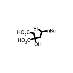 CCCCC(CC)CC(O)(CC(=O)O)C(=O)O